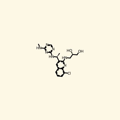 CNc1ncnc(N[C@@H](C)c2cc3cccc(Cl)c3nc2NC[C@@H](O)CO)n1